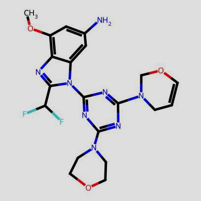 COc1cc(N)cc2c1nc(C(F)F)n2-c1nc(N2CCOCC2)nc(N2CC=COC2)n1